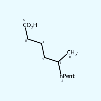 [CH2]C(CCCCC)CCCC(=O)O